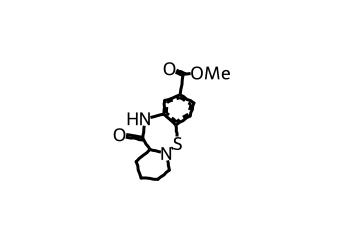 COC(=O)c1ccc2c(c1)NC(=O)C1CCCCN1S2